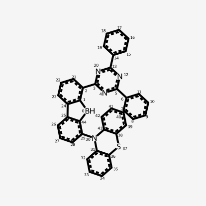 B1c2c(-c3nc(-c4ccccc4)nc(-c4ccccc4)n3)cccc2-c2cccc(N3c4ccccc4Sc4ccccc43)c21